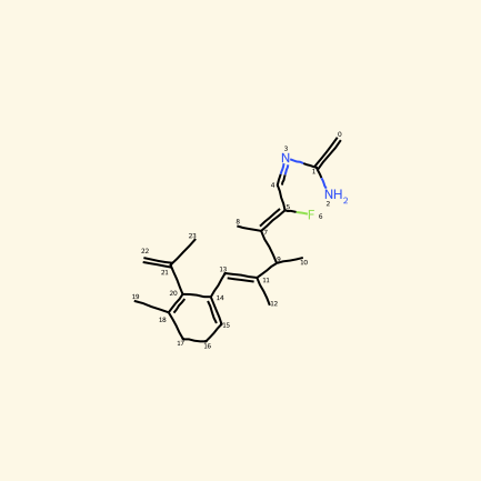 C=C(N)/N=C\C(F)=C(/C)C(C)/C(C)=C/C1=CCCC(C)=C1C(=C)C